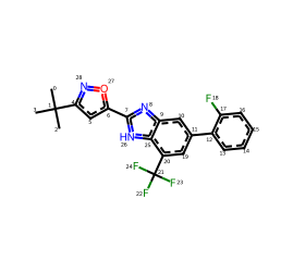 CC(C)(C)c1cc(-c2nc3cc(-c4ccccc4F)cc(C(F)(F)F)c3[nH]2)on1